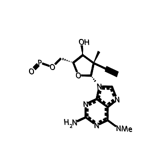 C#C[C@@]1(C)[C@H](O)[C@@H](COP=O)O[C@H]1n1cnc2c(NC)nc(N)nc21